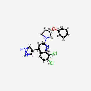 Clc1ccc2c(-c3cn[nH]c3)cc(N3CC[C@H](Oc4ccccc4)C3)nc2c1Cl